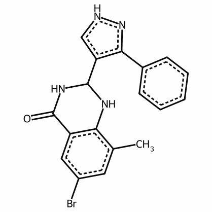 Cc1cc(Br)cc2c1NC(c1c[nH]nc1-c1ccccc1)NC2=O